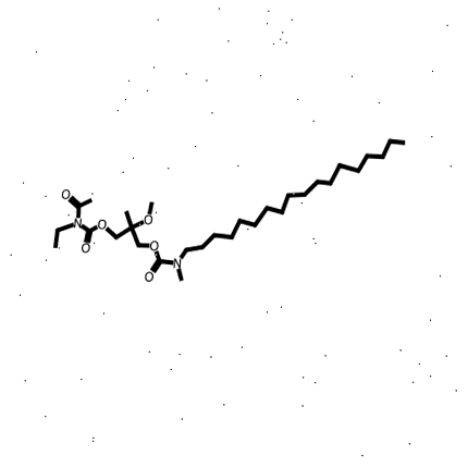 [CH2]CN(C(C)=O)C(=O)OCC(C)(COC(=O)N(C)CCCCCCCCCCCCCCCCCC)OC